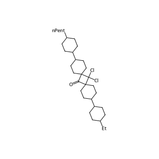 CCCCCC1CCC(C2CCC3(CC2)C(=O)C2(CCC(C4CCC(CC)CC4)CC2)C3(Cl)Cl)CC1